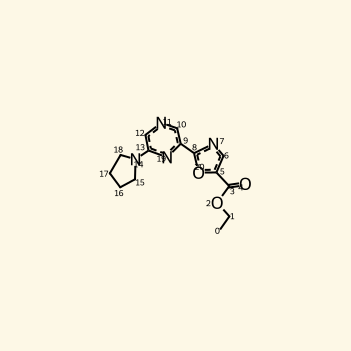 CCOC(=O)c1cnc(-c2cncc(N3CCCC3)n2)o1